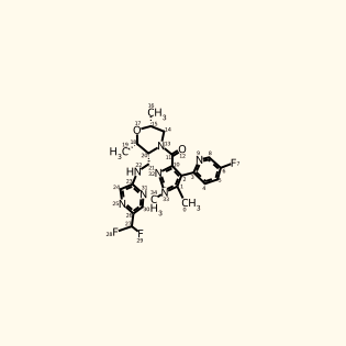 Cc1c(-c2ccc(F)cn2)c(C(=O)N2C[C@@H](C)O[C@@H](C)[C@H]2CNc2cnc(C(F)F)cn2)nn1C